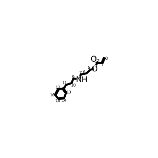 C=CC(=O)OCCCNCCCc1ccccc1